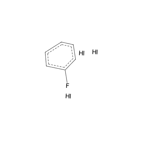 Fc1ccccc1.I.I.I